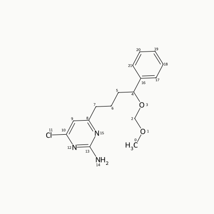 COCOC(CCCc1cc(Cl)nc(N)n1)c1ccccc1